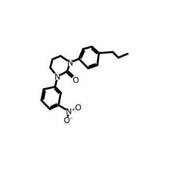 CCCc1ccc(N2CCCN(c3cccc([N+](=O)[O-])c3)C2=O)cc1